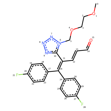 COCCOCn1nnnc1C(C=CC=O)=C(c1ccc(F)cc1)c1ccc(F)cc1